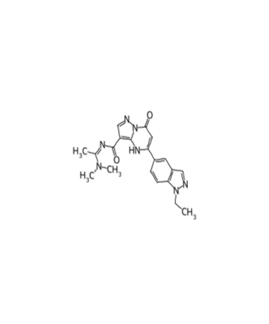 CCn1ncc2cc(-c3cc(=O)n4ncc(C(=O)N=C(C)N(C)C)c4[nH]3)ccc21